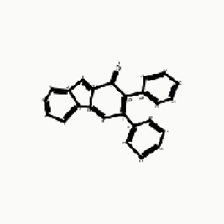 O=C1C2=Cc3ccccc3C2=CC(c2ccccc2)=C1c1ccccc1